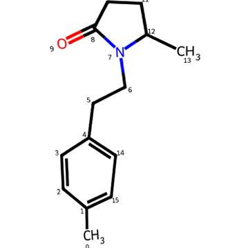 Cc1ccc(CCN2C(=O)CCC2C)cc1